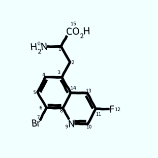 NC(Cc1ccc(Br)c2ncc(F)cc12)C(=O)O